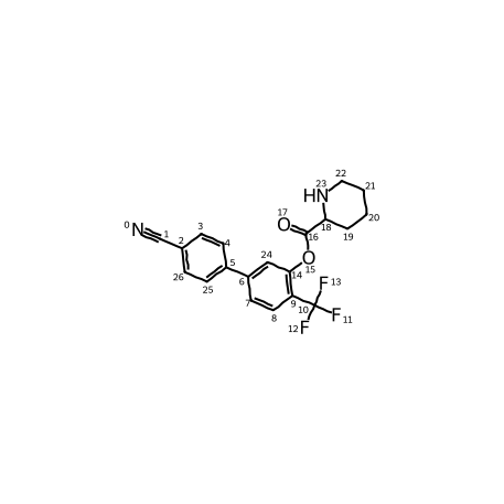 N#Cc1ccc(-c2ccc(C(F)(F)F)c(OC(=O)C3CCCCN3)c2)cc1